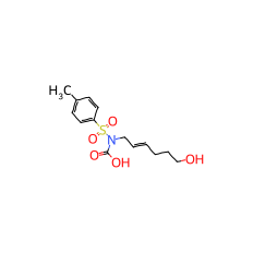 Cc1ccc(S(=O)(=O)N(CC=CCCCO)C(=O)O)cc1